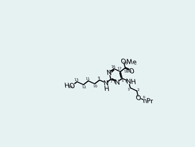 CCCOCCNc1nc(NCCCCCO)ncc1C(=O)OC